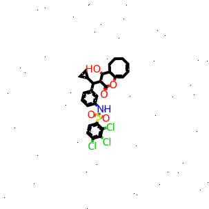 O=C1OC2=CC=CCCCC2C(O)C1C(c1cccc(NS(=O)(=O)c2ccc(Cl)c(Cl)c2Cl)c1)C1CC1